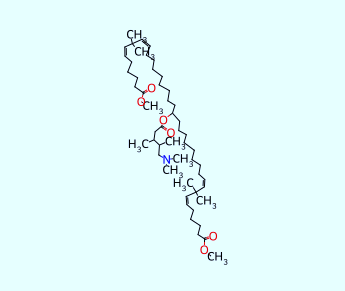 COC(=O)CCCC/C=C\C(C)(C)/C=C\CCCCCCCCC(CCCCCCCC/C=C\C(C)(C)/C=C\CCCCC(=O)OC)OC(=O)CC(C)C(C)CN(C)C